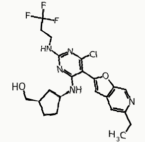 CCc1cc2cc(-c3c(Cl)nc(NCCC(F)(F)F)nc3N[C@H]3CC[C@@H](CO)C3)oc2cn1